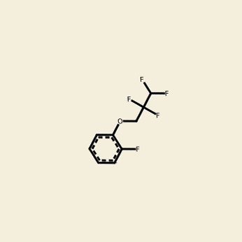 Fc1[c]cccc1OCC(F)(F)C(F)F